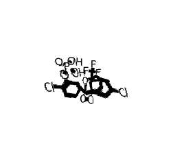 O=P(O)(O)Oc1cc(C2(OCC(F)(F)F)OOC23C2CC4CC3CC(Cl)(C4)C2)ccc1Cl